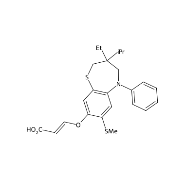 CCC1(C(C)C)CSc2cc(O/C=C/C(=O)O)c(SC)cc2N(c2ccccc2)C1